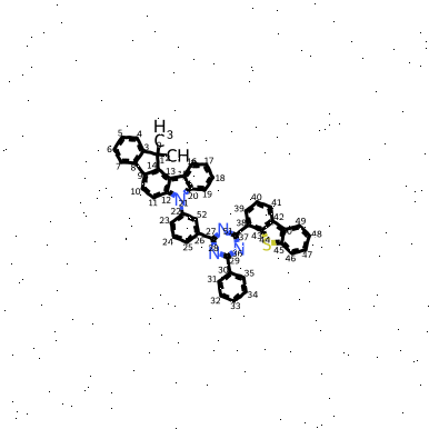 CC1(C)c2ccccc2-c2ccc3c(c21)c1ccccc1n3-c1cccc(-c2nc(-c3ccccc3)nc(-c3cccc4c3sc3ccccc34)n2)c1